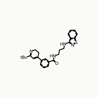 CC(C)(C)C1=NCCC(c2cccc(C(=O)NCCCNc3nsc4ccccc34)c2)=C1